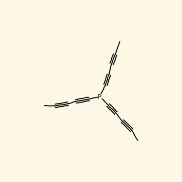 CC#CC#CP(C#CC#CC)C#CC#CC